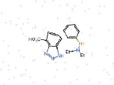 CCN(CC)Pc1ccccc1.O=C(O)c1cccc2[nH]nnc12